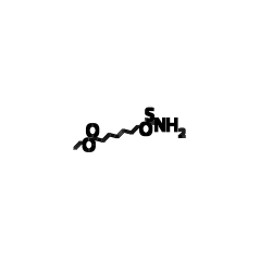 CCOC(=O)CCCCCCOC(N)=S